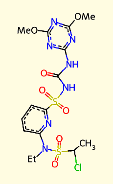 CCN(c1cccc(S(=O)(=O)NC(=O)Nc2nc(OC)nc(OC)n2)n1)S(=O)(=O)C(C)Cl